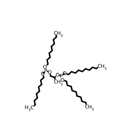 CCCCCCCCCCOP(OCCCCCCCCCC)OCC(C)OP(OCCCCCCCCCC)OCCCCCCCCCC